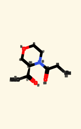 COC(=O)[C@@H]1COCCN1C(=O)CC(C)(C)C